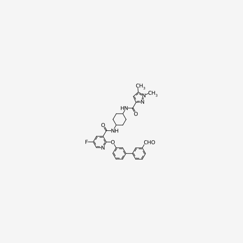 Cc1cc(C(=O)NC2CCC(NC(=O)c3cc(F)cnc3Oc3cccc(-c4cccc(C=O)c4)c3)CC2)nn1C